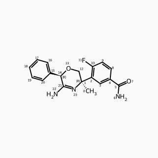 C[C@@]1(c2cc(C(N)=O)ccc2F)CO[C@H](c2ccccc2)C(N)=N1